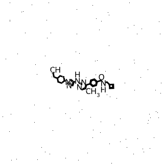 C#CCC1CCC(n2cc(Nc3ncc(C)c(-c4ccc(C(=O)NCC5C=C=C5)cc4)n3)cn2)CC1